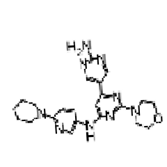 Nc1ncc(-c2cc(Nc3ccc(N4CCCCC4)nc3)nc(N3CCOCC3)n2)cn1